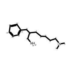 CN(C)CCCCCC(CN)Cc1ccccc1